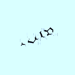 N=C(/C=C(\N)OC(F)F)Nc1cnc2cc[nH]c2n1